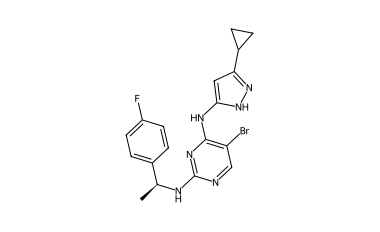 C[C@H](Nc1ncc(Br)c(Nc2cc(C3CC3)n[nH]2)n1)c1ccc(F)cc1